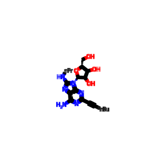 CCCCC#Cc1nc(N)c2nc(NCCC)n([C@@H]3O[C@H](CO)C(O)C3O)c2n1